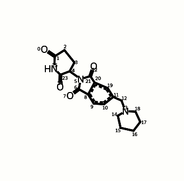 O=C1CCC(N2C(=O)c3ccc(CN4CCCCC4)cc3C2=O)C(=O)N1